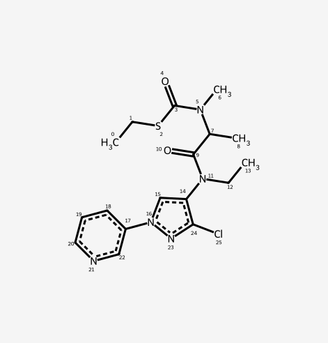 CCSC(=O)N(C)C(C)C(=O)N(CC)c1cn(-c2cccnc2)nc1Cl